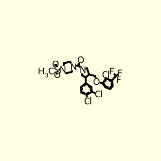 CS(=O)(=O)N1CCN(C(=O)N2CC(COc3cccc(C(F)(F)F)c3Cl)C(c3ccc(Cl)c(Cl)c3)C2)CC1